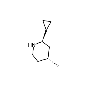 C[C@@H]1CCN[C@@H](C2CC2)C1